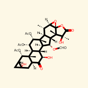 CC(=O)O[C@H]1[C@H]2[C@H]([C@@H]3[C@@H](OC=O)[C@@H]4[C@H]([C@H](C)[C@H]5O[C@]56OC(=O)[C@@](C)(O)[C@]46C)[C@@]3(C)[C@H]1OC(C)=O)[C@@H](O)C(=O)[C@H]1C[C@@]3(O)C[C@@H]3[C@H](OC(C)=O)[C@]21C